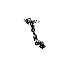 COc1cc2nn(C3CCC(C#CN4CCC5(CC4)CCN(c4cccc6c4n(C)c(=O)n6C4CCC(=O)NC4=O)CC5)CC3)cc2cc1NC(=O)c1nn(C)cc1Cl